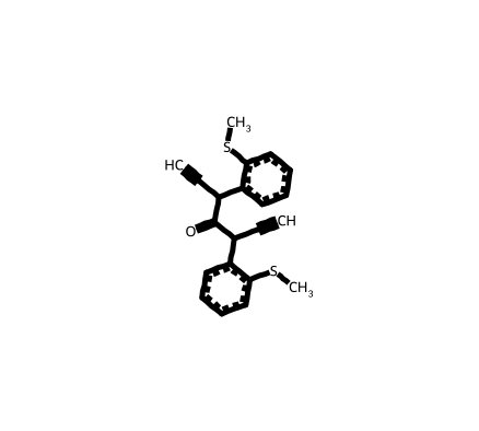 C#CC(C(=O)C(C#C)c1ccccc1SC)c1ccccc1SC